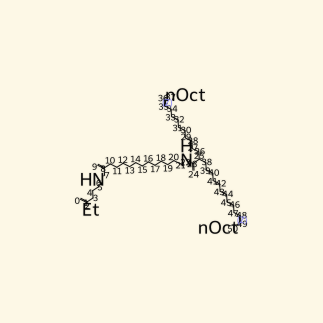 C=C(CC)CCCNCC(=C)CCCCCCCCCCCCNC(=C)C(CCCCCCCCC/C=C\CCCCCCCC)CCCCCCCCCC/C=C\CCCCCCCC